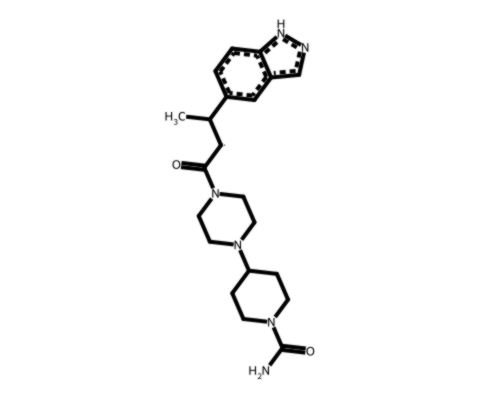 CC([CH]C(=O)N1CCN(C2CCN(C(N)=O)CC2)CC1)c1ccc2[nH]ncc2c1